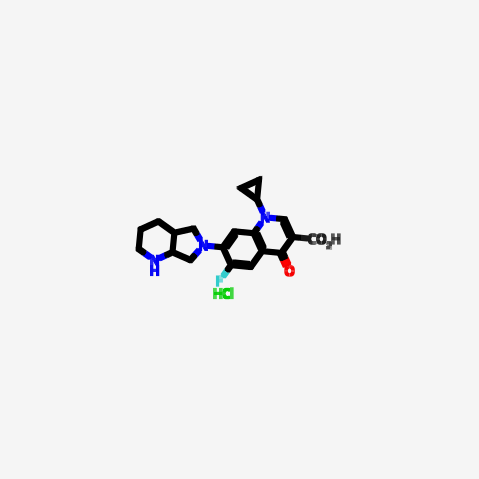 Cl.O=C(O)c1cn(C2CC2)c2cc(N3CC4CCCNC4C3)c(F)cc2c1=O